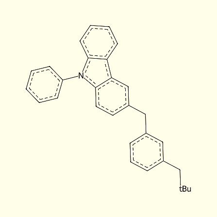 CC(C)(C)Cc1cccc(Cc2ccc3c(c2)c2ccccc2n3-c2ccccc2)c1